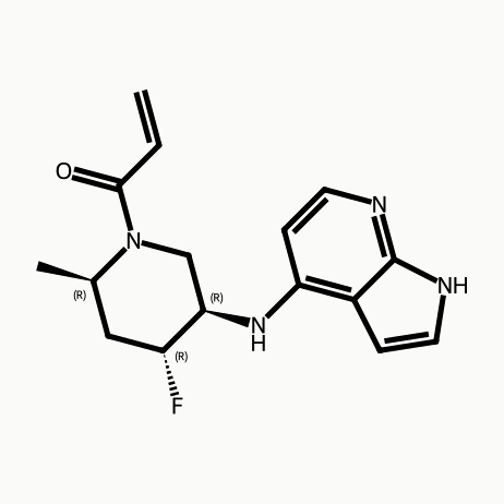 C=CC(=O)N1C[C@@H](Nc2ccnc3[nH]ccc23)[C@H](F)C[C@H]1C